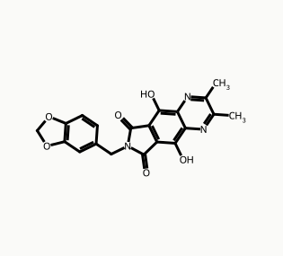 Cc1nc2c(O)c3c(c(O)c2nc1C)C(=O)N(Cc1ccc2c(c1)OCO2)C3=O